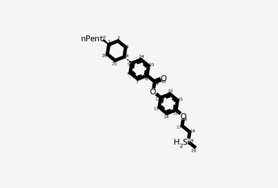 CCCCC[C@H]1CC[C@H](c2ccc(C(=O)Oc3ccc(OCC[SiH2]C)cc3)cc2)CC1